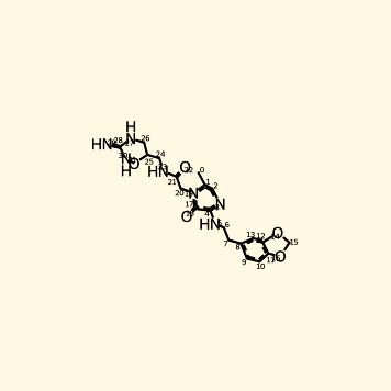 Cc1cnc(NCCc2ccc3c(c2)OCO3)c(=O)n1CC(=O)NCC1CNC(=N)NO1